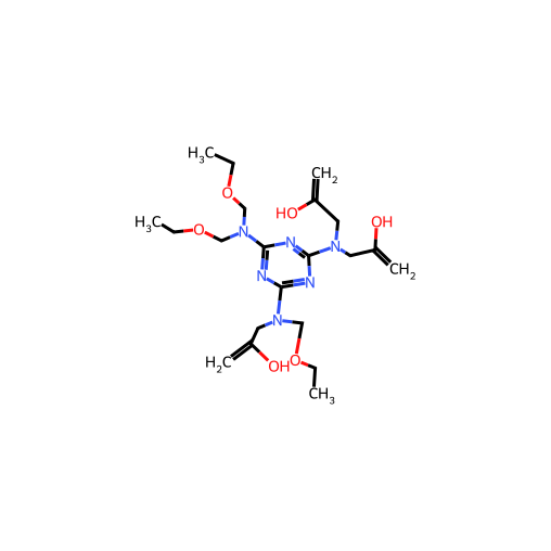 C=C(O)CN(COCC)c1nc(N(COCC)COCC)nc(N(CC(=C)O)CC(=C)O)n1